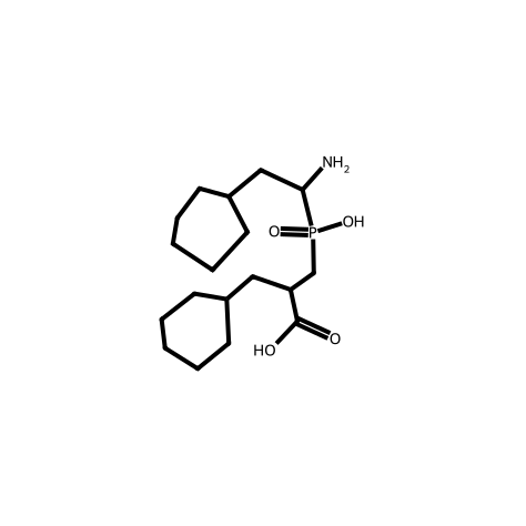 NC(CC1CCCCC1)P(=O)(O)CC(CC1CCCCC1)C(=O)O